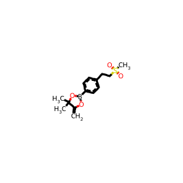 C=C1OB(c2ccc(CCS(C)(=O)=O)cc2)OC1(C)C